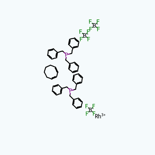 C1=C\CCCC\C=C/1.F[B-](F)(F)F.F[B-](F)(F)F.F[B-](F)(F)F.[Rh+3].c1ccc(CP(Cc2ccccc2)Cc2ccccc2)cc1.c1ccc(CP(Cc2ccccc2)Cc2ccccc2)cc1